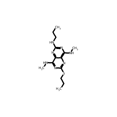 CCCNc1nc(NC)c2nc(SCCC)nc(NC)c2n1